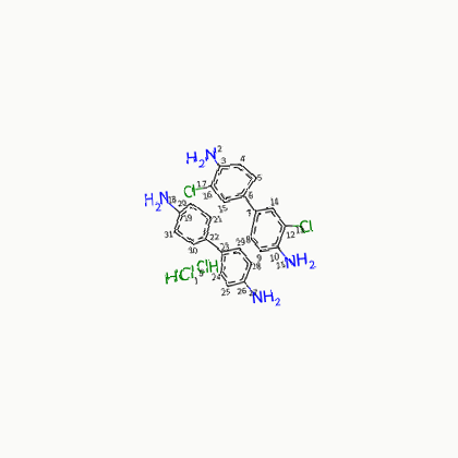 Cl.Cl.Nc1ccc(-c2ccc(N)c(Cl)c2)cc1Cl.Nc1ccc(-c2ccc(N)cc2)cc1